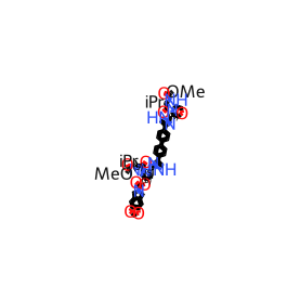 COC(=O)NC(C(=O)N1CCOC[C@H]1c1nc(-c2ccc(-c3ccc(-c4c[nH]c([C@@H]5C[C@H](OC(=O)N6Cc7cc8c(cc7C6)OCO8)CN5C(=O)[C@@H](NC(=O)OC)C(C)C)n4)cc3)cc2)c[nH]1)C(C)C